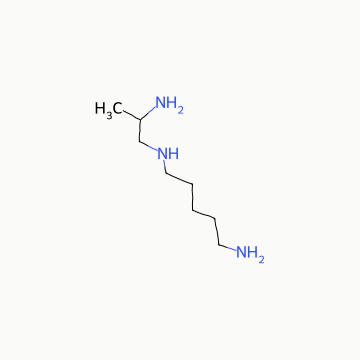 CC(N)CNCCCCCN